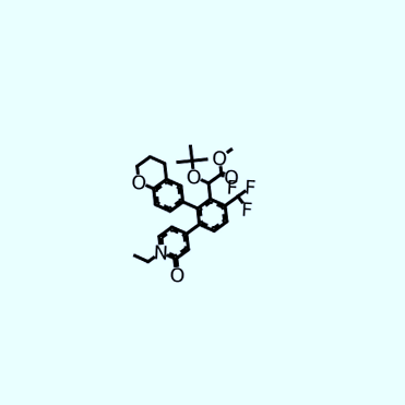 CCn1ccc(-c2ccc(C(F)(F)F)c(C(OC(C)(C)C)C(=O)OC)c2-c2ccc3c(c2)CCCO3)cc1=O